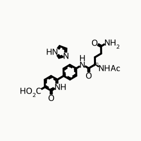 CC(=O)N[C@H](CCC(N)=O)C(=O)Nc1ccc(-c2ccc(C(=O)O)c(=O)[nH]2)cc1.c1c[nH]cn1